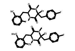 CCC1(Cc2ccc(F)cc2)C(=O)N(C)C(Cc2c(C#N)cccc2OC)C(=O)N1C.CCC1(Cc2ccc(F)cc2)C(=O)N(C)C(Cc2c(F)cccc2C#N)C(=O)N1C